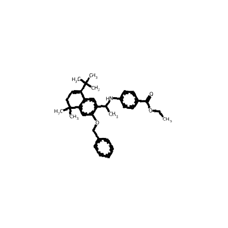 CCOC(=O)c1ccc(NC(C)c2cc3c(cc2OCc2ccccc2)C(C)(C)CC=C3C(C)(C)C)cc1